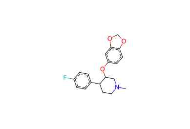 CN1CCC(c2ccc(F)cc2)C(Oc2ccc3c(c2)OCO3)C1